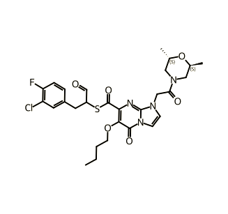 CCCCOc1c(C(=O)SC(C=O)Cc2ccc(F)c(Cl)c2)nc2n(CC(=O)N3C[C@H](C)O[C@@H](C)C3)ccn2c1=O